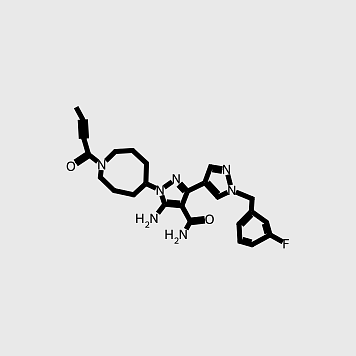 CC#CC(=O)N1CCCC(n2nc(-c3cnn(Cc4cccc(F)c4)c3)c(C(N)=O)c2N)CCC1